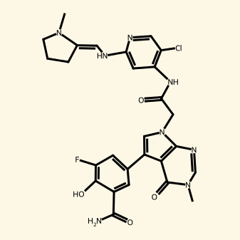 CN1CCC/C1=C\Nc1cc(NC(=O)Cn2cc(-c3cc(F)c(O)c(C(N)=O)c3)c3c(=O)n(C)cnc32)c(Cl)cn1